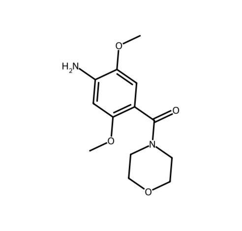 COc1cc(C(=O)N2CCOCC2)c(OC)cc1N